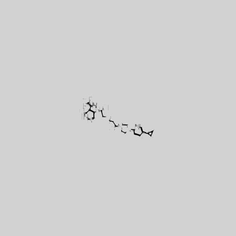 CC(COCCC(=O)N1CCN(c2ccc(C3CC3)cn2)CC1)n1nc(C(F)(F)F)c2c(=O)[nH]ncc21